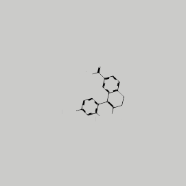 C=C(OC)c1ccc2c(c1)C(c1ccc(C)cc1C)=C(C)CC2